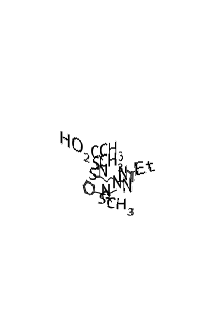 CCc1cnc(N(CCc2csc(SC(C)(C)C(=O)O)n2)Cc2nc(-c3ccccc3)sc2C)nc1